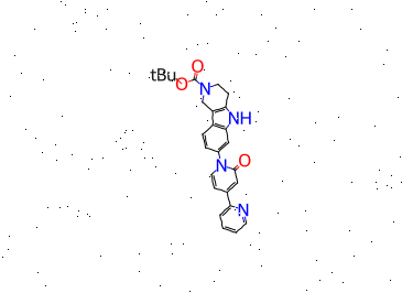 CC(C)(C)OC(=O)N1CCc2[nH]c3cc(-n4ccc(-c5ccccn5)cc4=O)ccc3c2C1